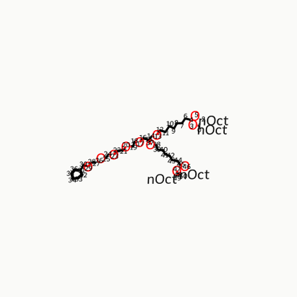 CCCCCCCCC(CCCCCCCC)OC(=O)CCCCCCCOCC(COCCOCCOCCOCCOCc1ccccc1)OCCCCCCCC(=O)OC(CCCCCCCC)CCCCCCCC